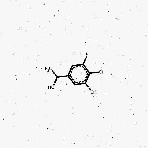 OC(c1cc(F)c(Cl)c(C(F)(F)F)c1)C(F)(F)F